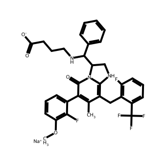 COc1cccc(-c2c(C)c(Cc3c(F)cccc3C(F)(F)F)c3n(c2=O)C(C(NCCCC(=O)[O-])c2ccccc2)CN3)c1F.[Na+]